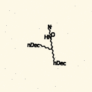 CCCCCCCCCCCCCCCCC(=CCCCCNC(=O)CCCN(C)C)CCCCCCCCCCCCCCCC